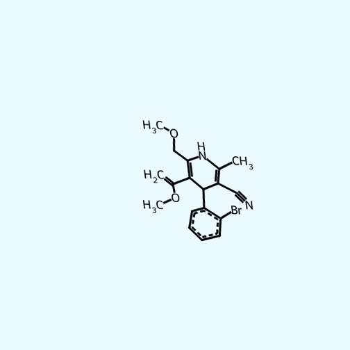 C=C(OC)C1=C(COC)NC(C)=C(C#N)C1c1ccccc1Br